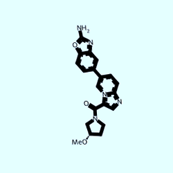 CO[C@H]1CCN(C(=O)c2cnc3ccc(-c4ccc5oc(N)nc5c4)cn23)C1